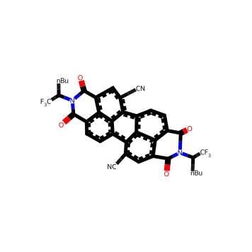 CCCCC(N1C(=O)c2ccc3c4c(C#N)cc5c6c(ccc(c7c(C#N)cc(c2c37)C1=O)c64)C(=O)N(C(CCCC)C(F)(F)F)C5=O)C(F)(F)F